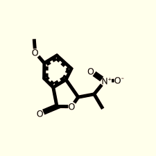 COc1ccc2c(c1)C(=O)OC2C(C)[N+](=O)[O-]